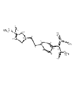 CC1(C)OC[C@H](CCc2ccc(C(C(=O)O)=S(=O)=O)cc2)O1